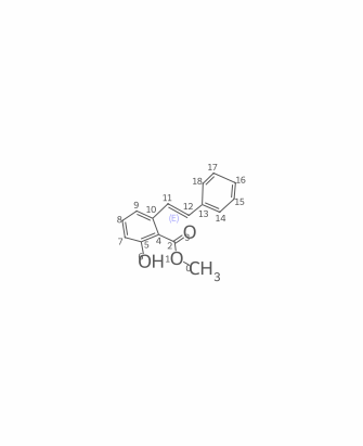 COC(=O)c1c(O)cccc1/C=C/c1ccccc1